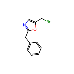 BrCc1cnc(Cc2ccccc2)o1